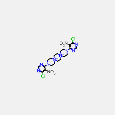 O=[N+]([O-])c1c(Cl)ncnc1N1CC[N+]2(CC1)CC[N+]1(CCN(c3ncnc(Cl)c3[N+](=O)[O-])CC1)CC2